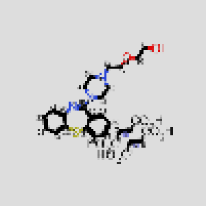 O=C(O)/C=C/C(=O)O.O=C(O)/C=C/C(=O)O.OCCOCCN1CCN(C2=Nc3ccccc3Sc3ccccc32)CC1